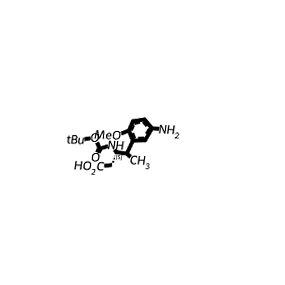 COc1ccc(N)cc1C(C)[C@H](CC(=O)O)NC(=O)OC(C)(C)C